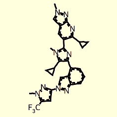 Cn1cc2cc(-c3nc(-c4cccc5nn(-c6cc(C(F)(F)F)n(C)n6)cc45)c(C4CC4)n3C)c(C3CC3)nc2n1